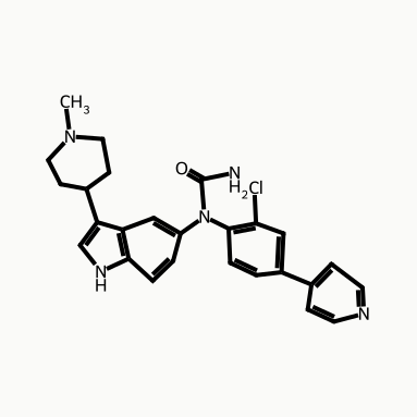 CN1CCC(c2c[nH]c3ccc(N(C(N)=O)c4ccc(-c5ccncc5)cc4Cl)cc23)CC1